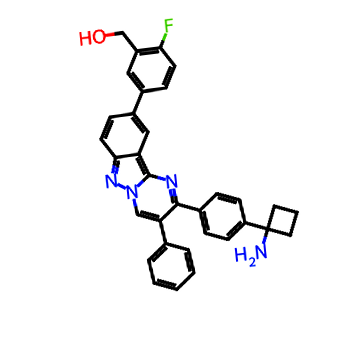 NC1(c2ccc(-c3nc4c5cc(-c6ccc(F)c(CO)c6)ccc5nn4cc3-c3ccccc3)cc2)CCC1